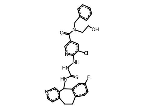 O=C(c1cnc(NNC(=S)NC2c3cnccc3CCc3ccc(F)cc32)c(Cl)c1)N(CCO)Cc1ccccc1